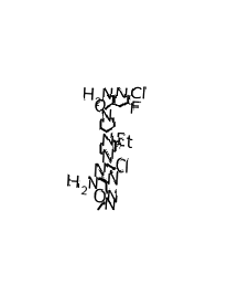 CC[C@H]1CN(c2nc(N)c(-c3nnc(C)o3)nc2Cl)CCN1C1CCN(C(=O)c2cc(F)c(Cl)nc2N)CC1